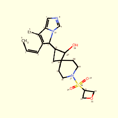 C/C=C\C1=C(CC)c2cncn2C1C1CC2(CCN(S(=O)(=O)C3COC3)CC2)C1O